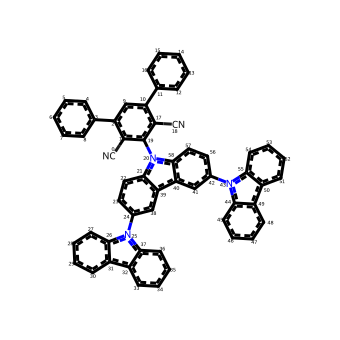 N#Cc1c(-c2ccccc2)cc(-c2ccccc2)c(C#N)c1-n1c2ccc(-n3c4ccccc4c4ccccc43)cc2c2cc(-n3c4ccccc4c4ccccc43)ccc21